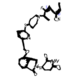 C=C(/C(F)=C\C(C#N)=C/C)N1CCC(Sc2ccc(COc3cccc4c3CN([C@@H]3CCC(=O)NC3=O)C4=O)nc2)CC1